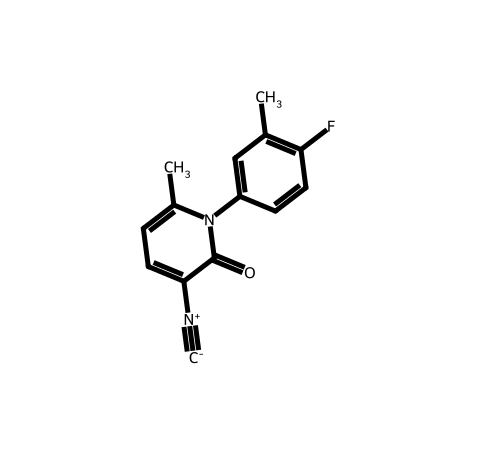 [C-]#[N+]c1ccc(C)n(-c2ccc(F)c(C)c2)c1=O